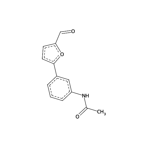 CC(=O)Nc1cccc(-c2ccc(C=O)o2)c1